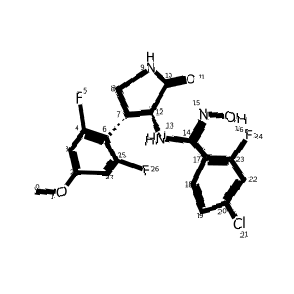 COc1cc(F)c([C@@H]2CNC(=O)[C@H]2N/C(=N/O)c2ccc(Cl)cc2F)c(F)c1